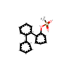 O=S(=O)(Oc1ccccc1-c1ccccc1-c1ccccc1)C(F)(F)F